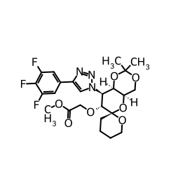 COC(=O)CO[C@@H]1[C@@H](n2cc(-c3cc(F)c(F)c(F)c3)nn2)[C@H]2OC(C)(C)OC[C@H]2O[C@@]12CCCCO2